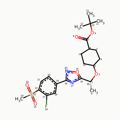 C[C@@H](OC1CCC(C(=O)OC(C)(C)C)CC1)c1nc(-c2ccc(S(C)(=O)=O)c(F)c2)no1